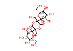 O=C1OC(CO)(C2(O)O[C@H](CO)[C@@H](O)[C@H](O)[C@H]2O)C(=O)OC1(CO)C1(O)O[C@H](CO)[C@@H](O)[C@H](O)[C@H]1O